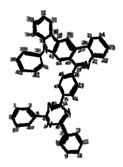 c1ccc(-c2nc(-c3ccccc3)nc(-c3ccc(-c4nc5ccccc5c5cc6c7ccccc7n(-c7ccccc7)c6cc45)cc3)n2)cc1